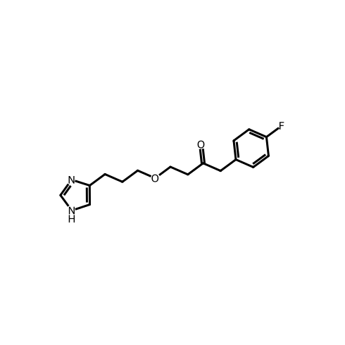 O=C(CCOCCCc1c[nH]cn1)Cc1ccc(F)cc1